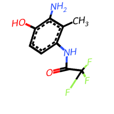 Cc1c(NC(=O)C(F)(F)F)ccc(O)c1N